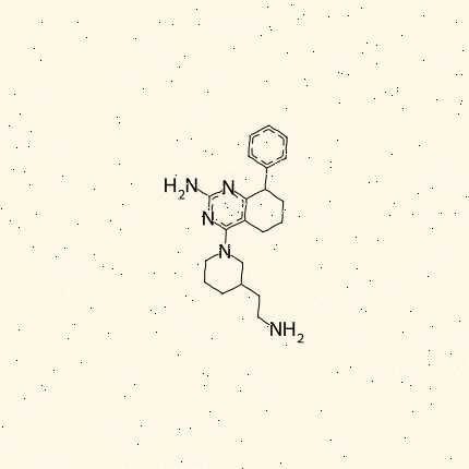 NCCC1CCCN(c2nc(N)nc3c2CCCC3c2ccccc2)C1